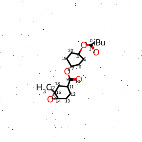 CCC(C)C(=O)OC1CCC(OC(=O)C2CCC3OC3(C)C2)CC1